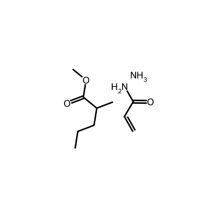 C=CC(N)=O.CCCC(C)C(=O)OC.N